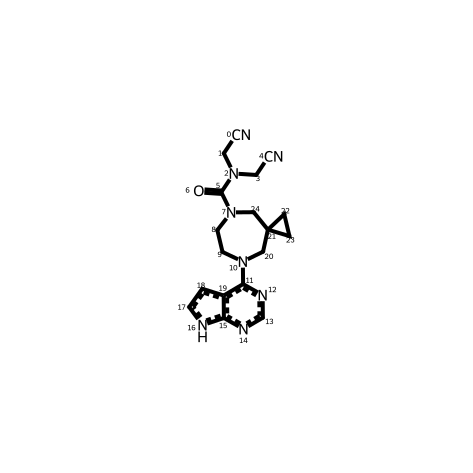 N#CCN(CC#N)C(=O)N1CCN(c2ncnc3[nH]ccc23)CC2(CC2)C1